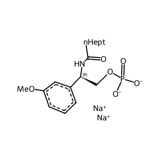 CCCCCCCC(=O)N[C@@H](COP(=O)([O-])[O-])c1cccc(OC)c1.[Na+].[Na+]